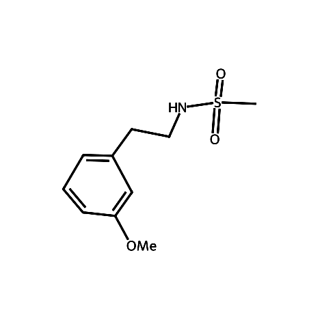 COc1cccc(CCNS(C)(=O)=O)c1